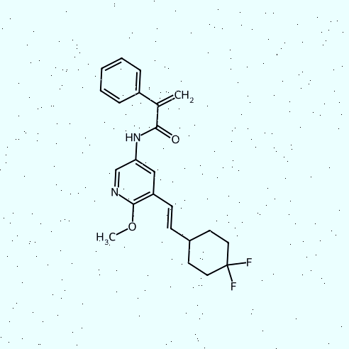 C=C(C(=O)Nc1cnc(OC)c(/C=C/C2CCC(F)(F)CC2)c1)c1ccccc1